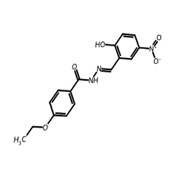 CCOc1ccc(C(=O)N/N=C/c2cc([N+](=O)[O-])ccc2O)cc1